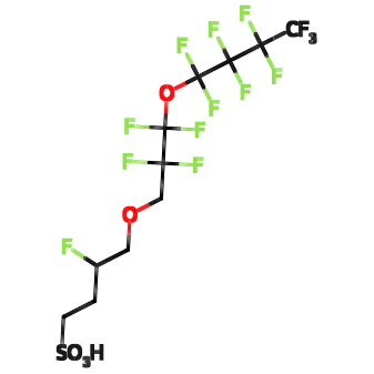 O=S(=O)(O)CCC(F)COCC(F)(F)C(F)(F)OC(F)(F)C(F)(F)C(F)(F)C(F)(F)F